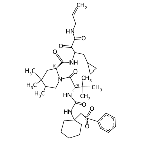 C=CCNC(=O)C(=O)C(CC1CC1)NC(=O)[C@@H]1CC(C)(C)C(C)CN1C(=O)[C@@H](NC(=O)NC1(CS(=O)(=O)c2ccccc2)CCCCC1)C(C)(C)C